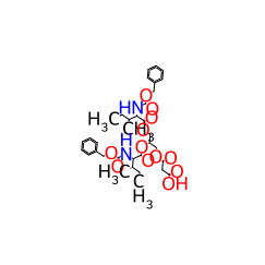 CC[C@H](C)[C@H](NC(=O)OCc1ccccc1)C(=O)OCC(COC(=O)CC(=O)O)OC(=O)[C@@H](NC(=O)OCc1ccccc1)[C@@H](C)CC